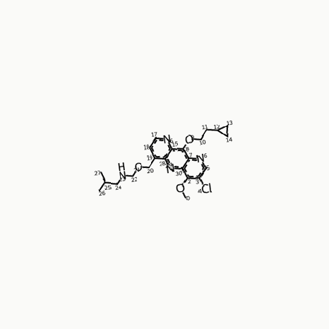 COc1c(Cl)cnc2c(OCCC3CC3)c3nccc(COCNCC(C)C)c3nc12